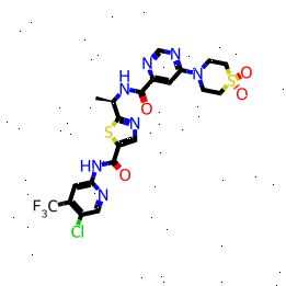 C[C@@H](NC(=O)c1cc(N2CCS(=O)(=O)CC2)ncn1)c1ncc(C(=O)Nc2cc(C(F)(F)F)c(Cl)cn2)s1